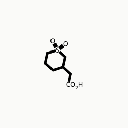 O=C(O)CC1CCCS(=O)(=O)C1